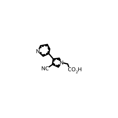 N#Cc1cn(CC(=O)O)cc1-c1cccnc1